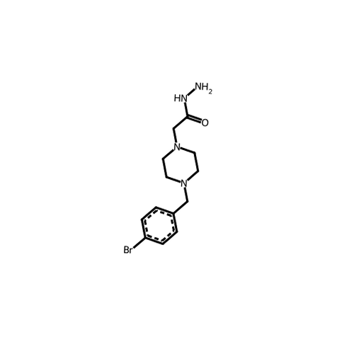 NNC(=O)CN1CCN(Cc2ccc(Br)cc2)CC1